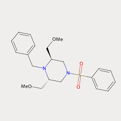 COC[C@H]1CN(S(=O)(=O)c2ccccc2)C[C@H](COC)N1Cc1ccccc1